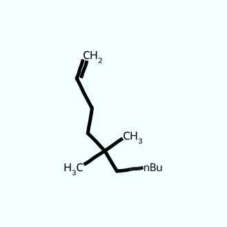 C=CCCC(C)(C)CCCCC